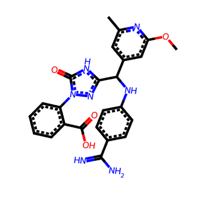 COc1cc(C(Nc2ccc(C(=N)N)cc2)c2nn(-c3ccccc3C(=O)O)c(=O)[nH]2)cc(C)n1